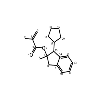 C=C(C)C(=O)OC1(C)Cc2ccccc2C1C1CCCC1